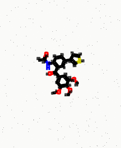 COc1cc(C(=O)c2cc(-c3ccsc3)ccc2NC(C)=O)cc(OC)c1OC